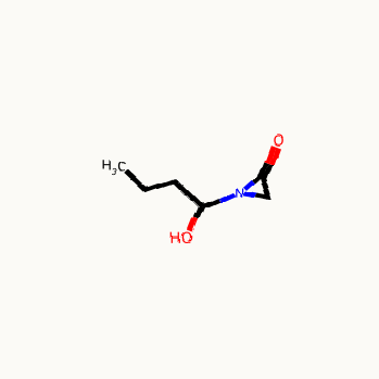 CCCC(O)N1CC1=O